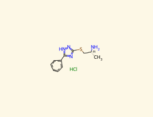 C[C@@H](N)CSc1n[nH]c(-c2ccccc2)n1.Cl